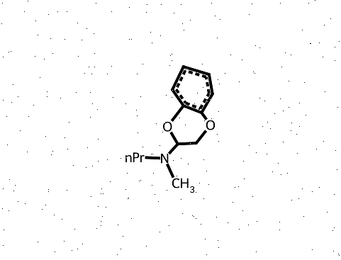 CCCN(C)C1COc2ccccc2O1